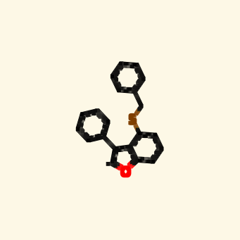 [c]1oc2cccc(SCc3ccccc3)c2c1-c1ccccc1